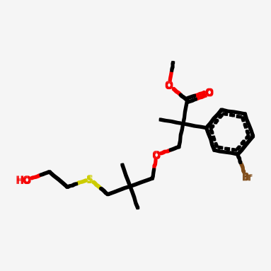 COC(=O)C(C)(COCC(C)(C)CSCCO)c1cccc(Br)c1